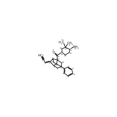 C#C/C=C1/C2CC3(c4ccccc4)CC1C(C(=O)N1CC[C@H](N)C(C)(C)C1)(C2)C3